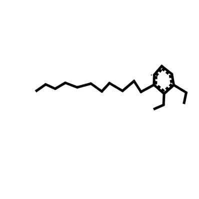 CCCCCCCCCCCc1[c]ccc(CC)c1CC